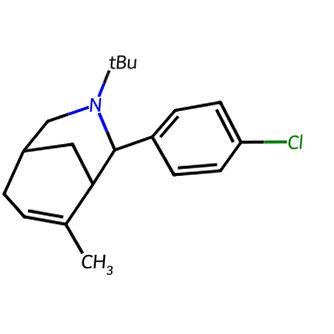 CC1=CCC2CC1C(c1ccc(Cl)cc1)N(C(C)(C)C)C2